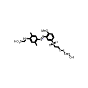 COc1ccc(S(=O)(=O)CCOSOOO)cc1/N=N/c1cc(C)c(NCS(=O)(=O)O)cc1C